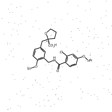 CCCOc1ccc(C(=O)NCc2cc(C[C@@]3(C(=O)O)CCCO3)ccc2OCC)c(Cl)c1